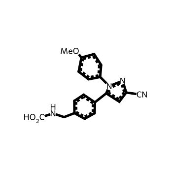 COc1ccc(-n2nc(C#N)cc2-c2ccc(CNC(=O)O)cc2)cc1